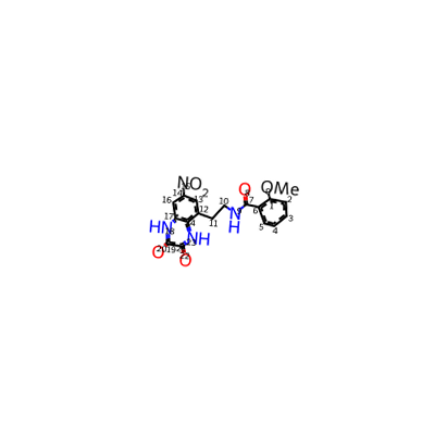 COc1ccccc1C(=O)NCCc1cc([N+](=O)[O-])cc2[nH]c(=O)c(=O)[nH]c12